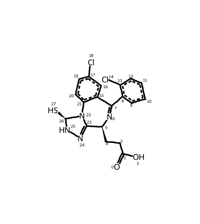 O=C(O)CC[C@@H]1N=C(c2ccccc2Cl)c2cc(Cl)ccc2N2C1=NN[C@H]2S